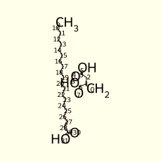 C=C(CC(=O)O)C(=O)O.CCCCCCCCCCCCCCCCCC/C=C/C(=O)O